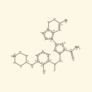 CC(Oc1cc(-n2cnc3c2C=C(Br)CC3)sc1C(N)=O)c1cccc(OC2CCNCC2)c1Cl